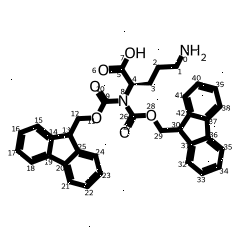 NCCC[C@H](C(=O)O)N(C(=O)OCC1c2ccccc2-c2ccccc21)C(=O)OCC1c2ccccc2-c2ccccc21